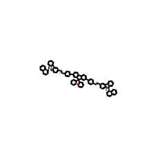 C(=C\c1ccc2c(c1)c1ccccc1n2-c1cccc2ccccc12)/c1ccc(-c2ccc3c(c2)C(c2ccccc2)(c2ccccc2)c2cc(-c4ccc(/C=C/c5ccc6c(c5)c5ccccc5n6-c5cccc6ccccc56)cc4)ccc2-3)cc1